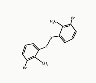 Cc1c(Br)cccc1SSc1cccc(Br)c1C